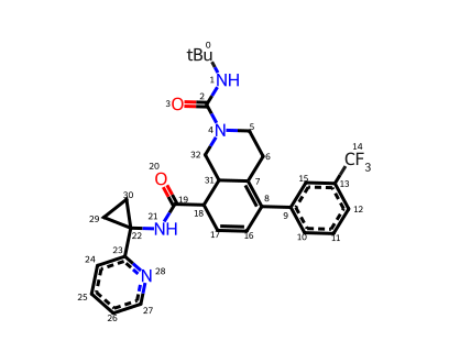 CC(C)(C)NC(=O)N1CCC2=C(c3cccc(C(F)(F)F)c3)C=CC(C(=O)NC3(c4ccccn4)CC3)C2C1